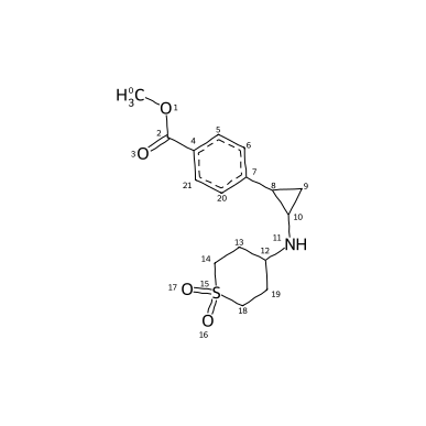 COC(=O)c1ccc(C2CC2NC2CCS(=O)(=O)CC2)cc1